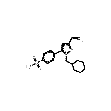 C=Cc1cc(-c2ccc(S(C)(=O)=O)cc2)n(CC2CCCCC2)n1